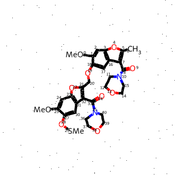 COc1cc2oc(C)c(C(=O)N3CCOCC3)c2cc1OCc1oc2cc(OC)c(OSC)cc2c1C(=O)N1CCOCC1